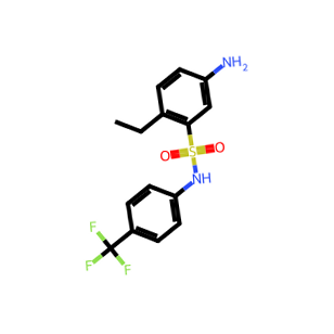 CCc1ccc(N)cc1S(=O)(=O)Nc1ccc(C(F)(F)F)cc1